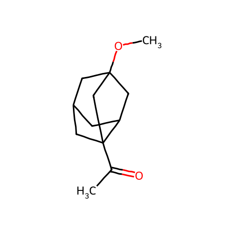 COC12CC3CC(C1)C(C(C)=O)(C3)C2